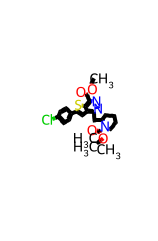 CCOC(=O)c1nnc(CC2CCCCN2C(=O)OC(C)(C)C)c2cc(-c3ccc(Cl)cc3)sc12